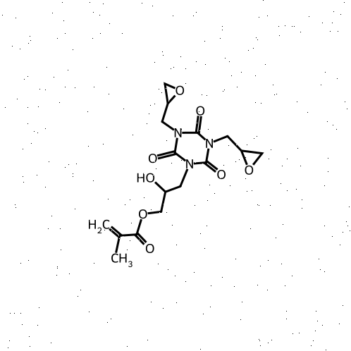 C=C(C)C(=O)OCC(O)Cn1c(=O)n(CC2CO2)c(=O)n(CC2CO2)c1=O